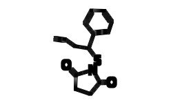 C=CCC(SN1C(=O)CCC1=O)c1ccccc1